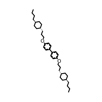 CCCC[C@H]1CC[C@H](CCCOc2ccc(-c3ccc(OCCC[C@H]4CC[C@H](CCCC)CC4)cc3)cc2)CC1